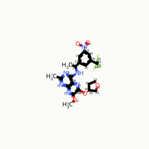 COc1nc2nc(C)nc(NC(C)c3cc([N+](=O)[O-])cc(C(F)(F)F)c3)c2nc1O[C@H]1CCOC1